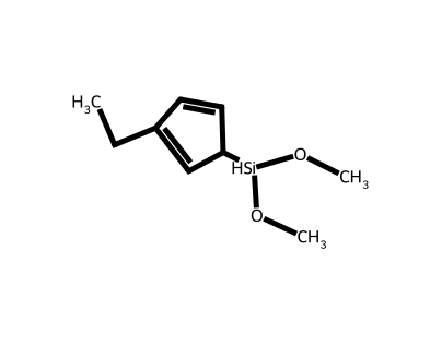 CCC1=CC([SiH](OC)OC)C=C1